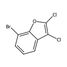 Clc1oc2c(Br)cccc2c1Cl